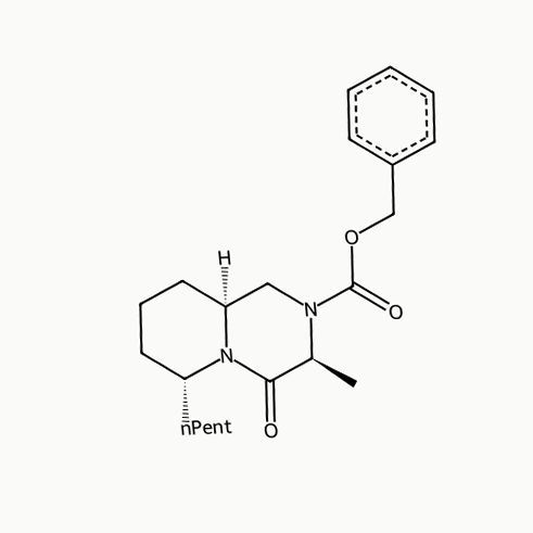 CCCCC[C@@H]1CCC[C@H]2CN(C(=O)OCc3ccccc3)[C@@H](C)C(=O)N12